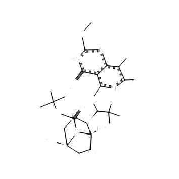 CSc1nc2c(F)c(Cl)nc(OC([C@@H]3NC[C@H]4CC[C@@H]3N4C(=O)OC(C)(C)C)C(F)(F)F)c2c(=O)[nH]1